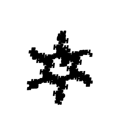 CC(C)(C)OC(=O)NCCNc1nc(N)nc(NCCNc2nc(NCCNC(=O)OC(C)(C)C)nc(NCCNc3nc(NCCNC(=O)OC(C)(C)C)nc(NCCNc4nc(NCCNC(=O)OC(C)(C)C)nc(NCCNc5nc(NCCNC(=O)OC(C)(C)C)nc(NCCNc6nc(NCCN)nc(NCCNC(=O)OC(C)(C)C)n6)n5)n4)n3)n2)n1